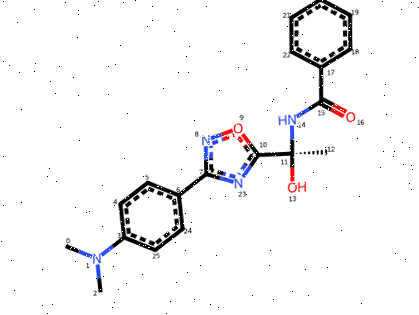 CN(C)c1ccc(-c2noc([C@](C)(O)NC(=O)c3ccccc3)n2)cc1